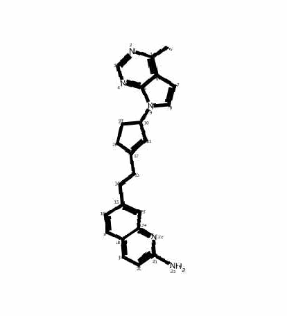 Cc1ncnc2c1ccn2C1C=C(CCc2ccc3ccc(N)nc3c2)CC1